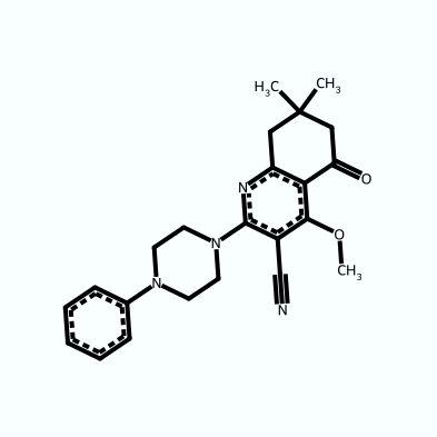 COc1c(C#N)c(N2CCN(c3ccccc3)CC2)nc2c1C(=O)CC(C)(C)C2